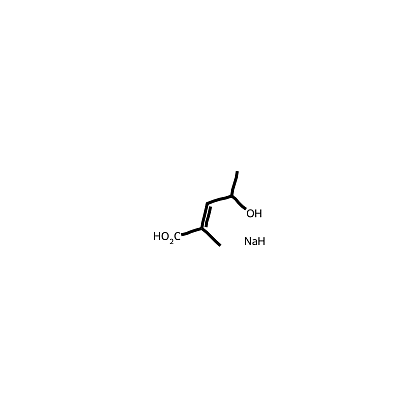 CC(=CC(C)O)C(=O)O.[NaH]